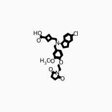 COc1cc(CN(CC2CC(C(=O)O)C2)[C@H]2CCc3cc(Cl)ccc32)ccc1OCCN1C(=O)CCC1=O